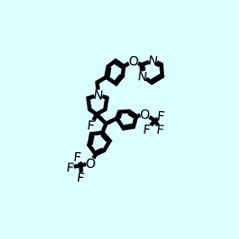 FC(F)(F)Oc1ccc(C(c2ccc(OC(F)(F)F)cc2)C2(F)CCN(Cc3ccc(Oc4ncccn4)cc3)CC2)cc1